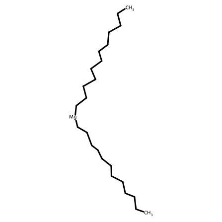 CCCCCCCCCCC[CH2][Mg][CH2]CCCCCCCCCCC